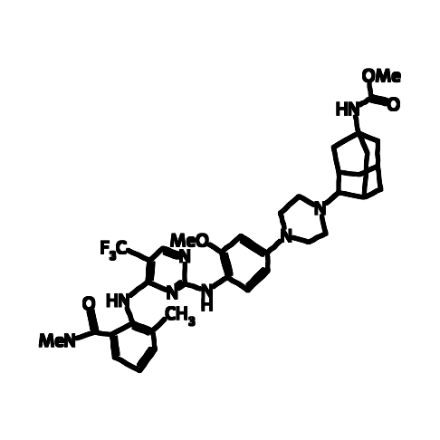 CNC(=O)c1cccc(C)c1Nc1nc(Nc2ccc(N3CCN(C4C5CC6CC4CC(NC(=O)OC)(C6)C5)CC3)cc2OC)ncc1C(F)(F)F